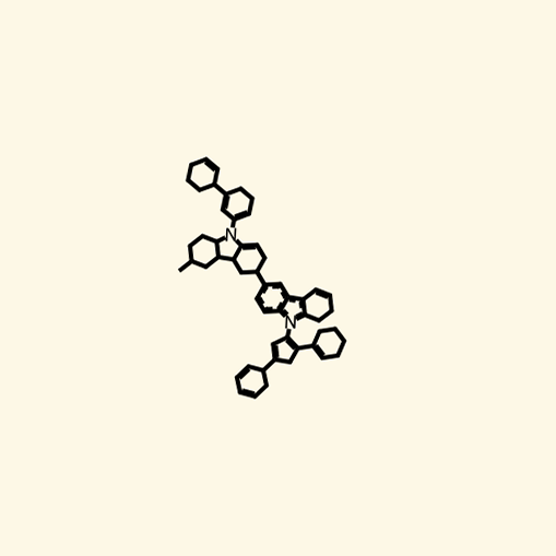 CC1CCC2C(C1)C1CC(c3ccc4c(c3)c3c(n4C4=C(C5=CCCCC5)CC(C5C=CC=CC5)=C4)CCC=C3)CC=C1N2C1=CCCC(C2C=CCCC2)=C1